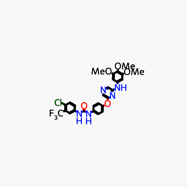 COc1cc(Nc2cncc(Oc3ccc(NC(=O)Nc4ccc(Cl)c(C(F)(F)F)c4)cc3)n2)cc(OC)c1OC